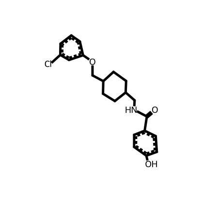 O=C(NCC1CCC(COc2cccc(Cl)c2)CC1)c1ccc(O)cc1